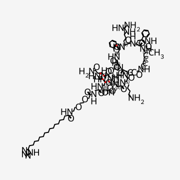 CC(=O)[C@@H]1CCCCNC(=O)CC[C@H](NC(=O)[C@H](CCCCN)NC(=O)[C@H](CO)NC(=O)[C@H](Cc2c[nH]cn2)NC(=O)[C@H](CCC(N)=O)NC(=O)[C@H](CO)NC(=O)CNC(=O)COCCOCCNC(=O)CCCCCCCCCCCCCCCc2nnn[nH]2)C(=O)N2C[C@H](O)C[C@H]2C(=O)N[C@H](Cc2ccccc2)C(=O)N[C@@H](CCCNC(=N)N)C(=O)N[C@@H](Cc2c[nH]c3ccccc23)C(=O)N1